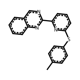 Cc1ccc(Sc2cccc(-c3ncc4ccccc4n3)n2)cc1